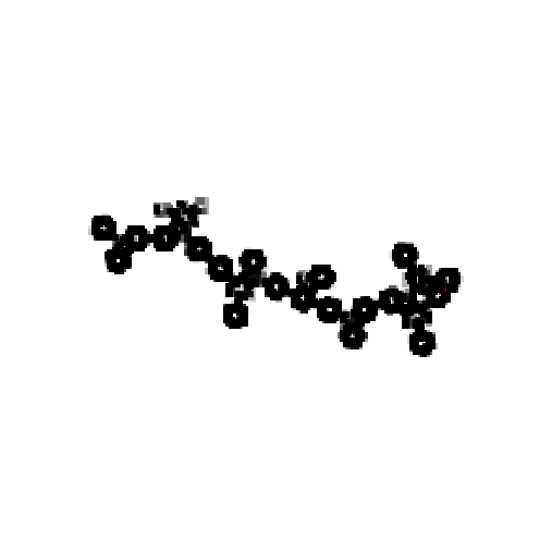 Clc1nc(Cl)c2c3cc(-c4ccc5c(c4)c4ccccc4n5-c4ccccc4)ccc3n(-c3ccc(-c4ccc(-c5nc(-c6ccccc6)nc6c5c5ccccc5n6-c5ccc(-c6ccc(-c7ccc(-n8c9ccccc9c9cc(-c%10ccc%11c(c%10)c%10nc(-c%12ccccc%12)nc(-c%12ccccc%12)c%10n%11-c%10nc(-c%11ccccc%11)nc(-c%11ccccc%11)n%10)ccc98)cc7)c7c6oc6ccccc67)cc5)cc4)cc3)c2n1